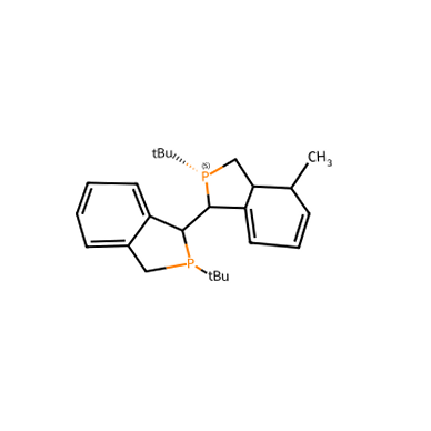 CC1C=CC=C2C1C[P@@](C(C)(C)C)C2C1c2ccccc2CP1C(C)(C)C